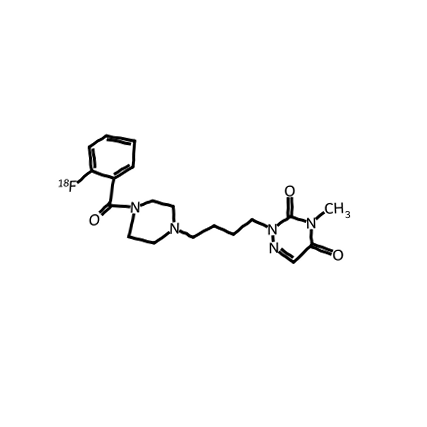 Cn1c(=O)cnn(CCCCN2CCN(C(=O)c3ccccc3[18F])CC2)c1=O